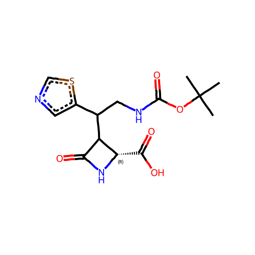 CC(C)(C)OC(=O)NCC(c1cncs1)C1C(=O)N[C@H]1C(=O)O